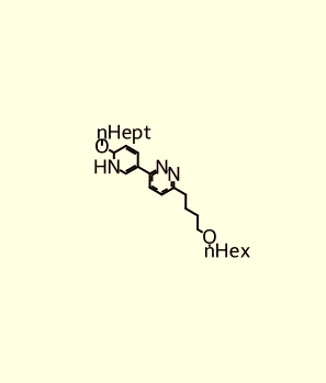 CCCCCCCOC1C=CC(c2ccc(CCCCOCCCCCC)nn2)=CN1